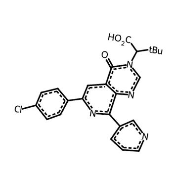 CC(C)(C)C(C(=O)O)n1cnc2c(-c3cccnc3)nc(-c3ccc(Cl)cc3)cc2c1=O